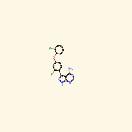 Nc1ncnc2[nH]nc(-c3ccc(Oc4ccccc4F)cc3F)c12